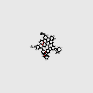 CC(C)(C)c1ccc(N(c2ccc(C(C)(C)C)cc2)c2ccc3c(c2)B2c4c(cc5ccccc5c4N3c3ccc(C(C)(C)C)cc3-c3ccccc3)-c3cc(C45CCCC(CCC4)C5)cc4c5cc(C67CCCC(CCC6)C7)ccc5n2c34)cc1